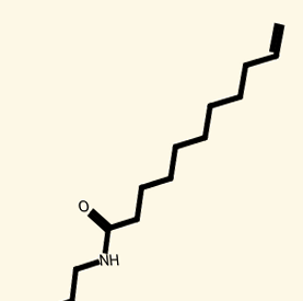 C=CCCCCCCCCC(=O)NCCS